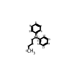 CCCC[I+](c1ccccc1)c1ccccc1